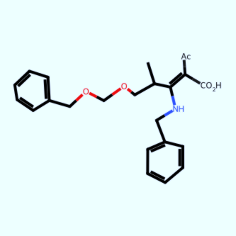 CC(=O)C(C(=O)O)=C(NCc1ccccc1)C(C)COCOCc1ccccc1